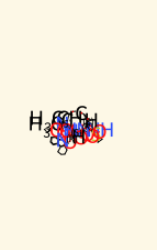 CC(C)(C)N(C(=O)O)[C@H]1CCCCCC=C[C@@H]2C[C@@]2(C(=O)NS(=O)(=O)C2CC2)NC(=O)[C@@H]2C[C@@H](Oc3nc4ccccc4c4c3CCCC4)CN2C1=O